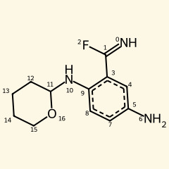 N=C(F)c1cc(N)ccc1NC1CCCCO1